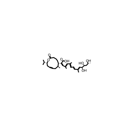 CC(=CC=CC(C)=C[C@H](O)[C@@H](O)C[C@@H](C)O)C=C(C)C=C(C(=O)O)[C@H]1CCCC(=O)O[C@@H](C(C)C)CC=CC[C@@H]1C